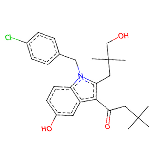 CC(C)(C)CC(=O)c1c(CC(C)(C)CO)n(Cc2ccc(Cl)cc2)c2ccc(O)cc12